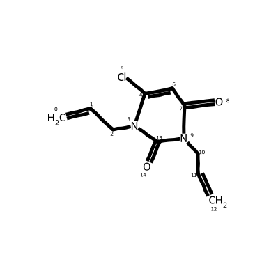 C=CCn1c(Cl)cc(=O)n(CC=C)c1=O